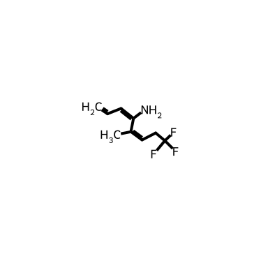 C=C/C=C(N)\C(C)=C/CC(F)(F)F